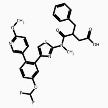 COc1ccc(-c2ccc(OC(F)F)cc2-c2csc(N(C)C(=O)C(CC(=O)O)Cc3ccccc3)n2)cn1